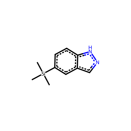 C[Si](C)(C)c1ccc2[nH]ncc2c1